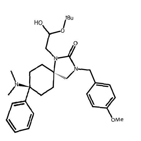 COc1ccc(CN2C[C@]3(CC[C@](c4ccccc4)(N(C)C)CC3)N(CC(O)OC(C)(C)C)C2=O)cc1